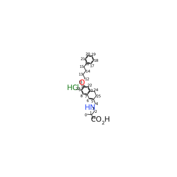 CC(CNCC1=Cc2ccc(OCCCCc3ccccc3)cc2CC1)C(=O)O.Cl